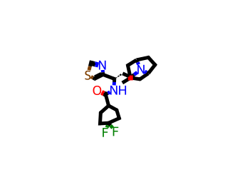 CC1CC2CCC(C1)N2CC[C@H](NC(=O)C1CCC(F)(F)CC1)c1cscn1